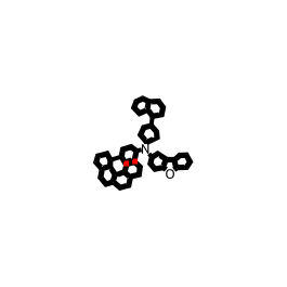 c1ccc2c(-c3ccc(N(c4ccc(-c5cccc6ccc7ccc8ccccc8c7c56)cc4)c4ccc5oc6ccccc6c5c4)cc3)cccc2c1